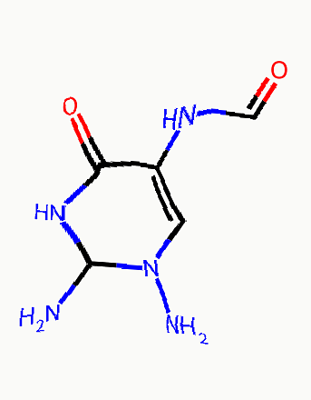 NC1NC(=O)C(NC=O)=CN1N